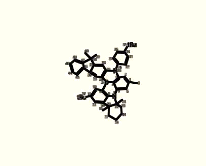 Cc1cc2c3c(c1)N1c4c(cc(C(C)(C)C)cc4C4(C)CCCCC14C)B3c1cc3c(cc1N2c1ccc(C(C)(C)C)cc1)C(C)(C)c1ccccc1-3